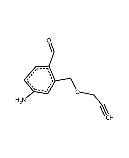 C#CCOCc1cc(N)ccc1C=O